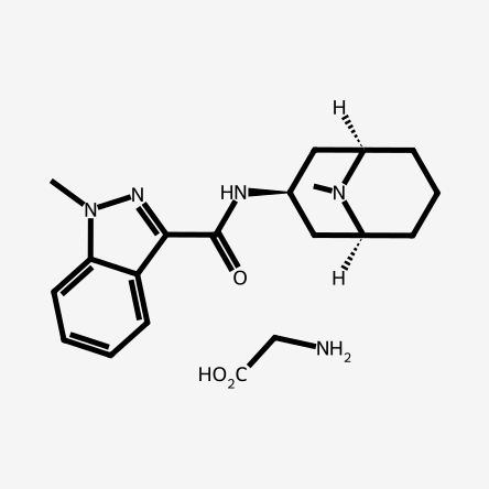 CN1[C@@H]2CCC[C@H]1C[C@@H](NC(=O)c1nn(C)c3ccccc13)C2.NCC(=O)O